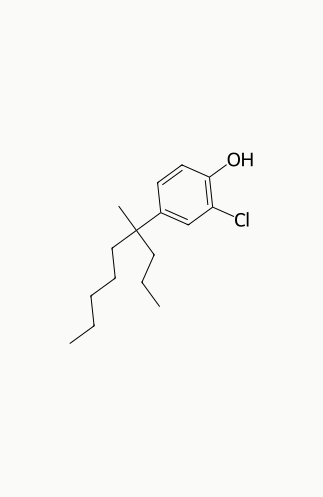 CCCCCC(C)(CCC)c1ccc(O)c(Cl)c1